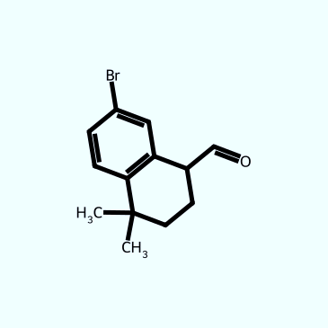 CC1(C)CCC(C=O)c2cc(Br)ccc21